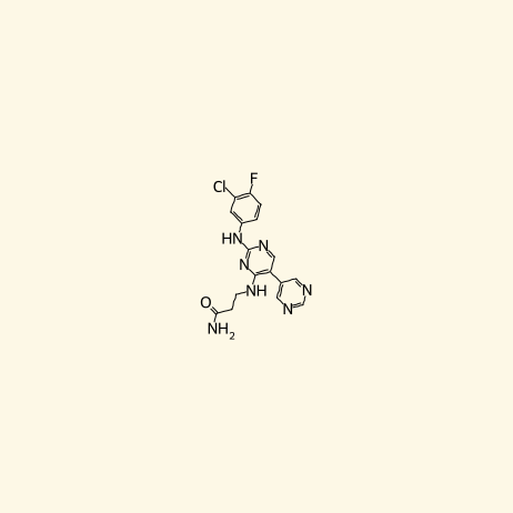 NC(=O)CCNc1nc(Nc2ccc(F)c(Cl)c2)ncc1-c1cncnc1